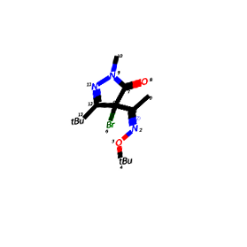 C/C(=N/OC(C)(C)C)C1(Br)C(=O)N(C)N=C1C(C)(C)C